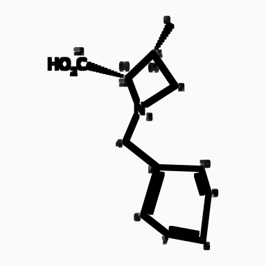 C[C@@H]1CN(Cc2ccccc2)[C@@H]1C(=O)O